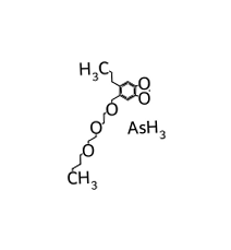 CCCCOCCOCCOCc1cc2c(cc1CCC)OCO2.[AsH3]